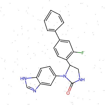 O=C1NCC(c2ccc(-c3ccccc3)cc2F)N1c1ccc2[nH]cnc2c1